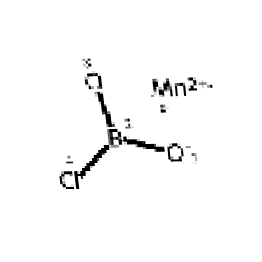 [Mn+2].[O-]B([O-])Cl